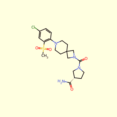 CS(=O)(=O)c1cc(Cl)ccc1N1CCC2(CC1)CN(C(=O)N1CC[C@H](C(N)=O)C1)C2